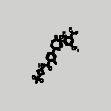 C=C1CCC(c2ccc(C(=O)NC3CN(S(C)(=O)=O)C3)c(C)c2)=NO[C@]1(c1cc(C(F)(F)F)cc(C(F)F)c1F)C(F)(F)F